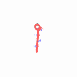 O=[C]COCCOCCNC(=O)COCCOCCNC(=O)COCCOCCNC(=O)COCCOCCNN1C(=O)CCCCCCCCCCCCCCCCC(=O)C(C(=O)O)C[C@H]1C(=O)O